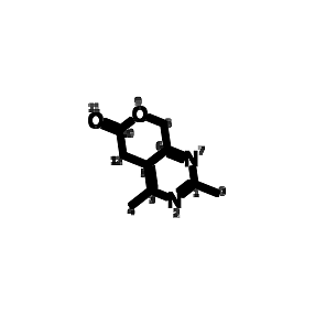 Cc1nc(C)c2c(n1)COC(=O)C2